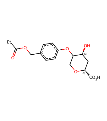 CCC(=O)OCc1ccc(OC2CO[C@H](C(=O)O)C[C@@H]2O)cc1